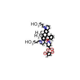 CC1(C)c2cc3c(cc2C(c2ccccc2C(=O)N2CCC(C(=O)OC4C(=O)CCC4=O)CC2)=c2cc4c(cc21)=[N+](CCS(=O)(=O)O)CCC4)CCCN3CCS(=O)(=O)O